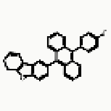 Fc1ccc(-c2c3ccccc3c(-c3ccc4oc5c(c4c3)C=CCC5)c3ccccc23)cc1